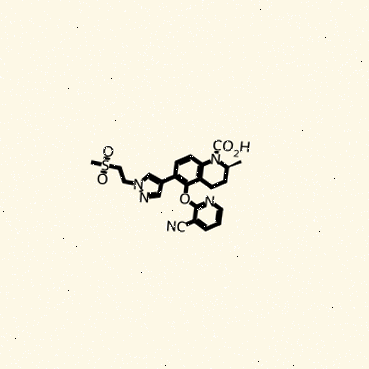 C[C@H]1CCc2c(ccc(-c3cnn(CCS(C)(=O)=O)c3)c2Oc2ncccc2C#N)N1C(=O)O